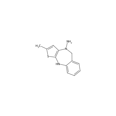 Cc1cc2c(s1)Nc1ccccc1CN2N